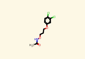 CC(=O)NOCCCOc1ccc(Cl)c(Cl)c1